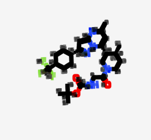 Cc1cc([C@H]2CN(C(=O)CNC(=O)OC(C)(C)C)CC[C@@H]2C)n2nc([C@H]3CC[C@H](C(F)(F)F)CC3)cc2n1